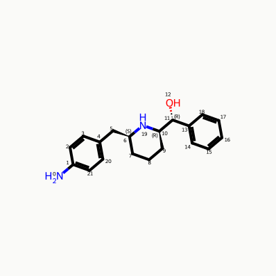 Nc1ccc(C[C@@H]2CCC[C@H]([C@H](O)c3ccccc3)N2)cc1